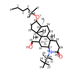 CCCC[Si](C)(C)OC1CC[C@H]2[C@@H]3C(C=O)CC4N([Si](C)(C)C(C)(C)C)C(=O)CC[C@]4(C)[C@@H]3CC[C@]12C